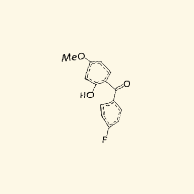 COc1ccc(C(=O)c2ccc(F)cc2)c(O)c1